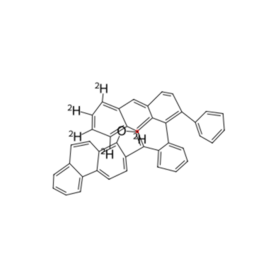 [2H]c1c([2H])c([2H])c2c([2H])c3c(-c4ccccc4-c4coc5c4ccc4c6ccccc6ccc45)c(-c4ccccc4)ccc3cc2c1[2H]